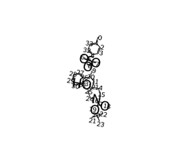 Cc1ccc(S(=O)(=O)OCC(CC2(O)CCN(C(=O)OC(C)(C)C)CC2)c2ccccc2)cc1